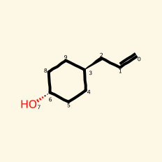 C=CC[C@H]1CC[C@H](O)CC1